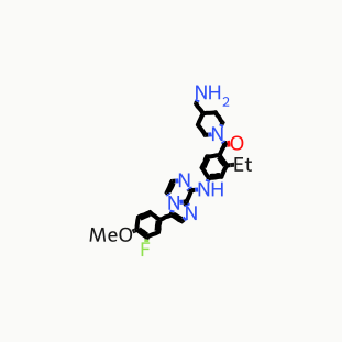 CCc1cc(Nc2nccn3c(-c4ccc(OC)c(F)c4)cnc23)ccc1C(=O)N1CCC(CN)CC1